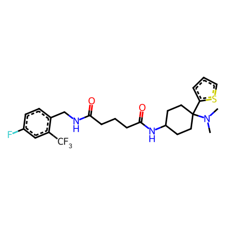 CN(C)C1(c2cccs2)CCC(NC(=O)CCCC(=O)NCc2ccc(F)cc2C(F)(F)F)CC1